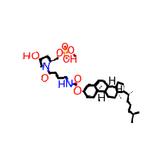 COP(=O)(O)OC[C@@H]1C[C@@H](O)CN1C(=O)CCCNC(=O)O[C@H]1CC[C@@]2(C)C(=CC[C@H]3[C@@H]4CC[C@H]([C@H](C)CCCC(C)C)[C@@]4(C)CC[C@@H]32)C1